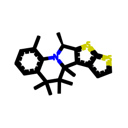 Cc1cccc2c1N1[C@@H](C)c3sc4sccc4c3C1(C)C(C)(C)C2(C)C